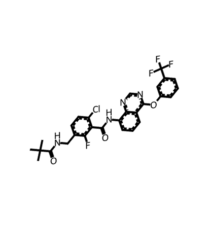 CC(C)(C)C(=O)NCc1ccc(Cl)c(C(=O)Nc2cccc3c(Oc4cccc(C(F)(F)F)c4)ncnc23)c1F